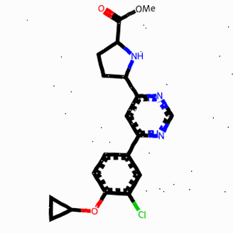 COC(=O)C1CCC(c2cc(-c3ccc(OC4CC4)c(Cl)c3)ncn2)N1